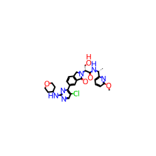 COc1cccc([C@@H](C)NC(=O)[C@@H](CO)N2Cc3ccc(-c4nc(NC5CCOCC5)ncc4Cl)cc3C2=O)n1